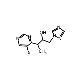 CC(c1ncncc1F)C(O)Cn1cncn1